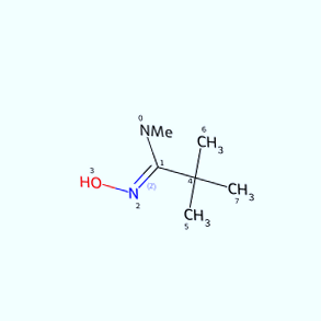 CN/C(=N\O)C(C)(C)C